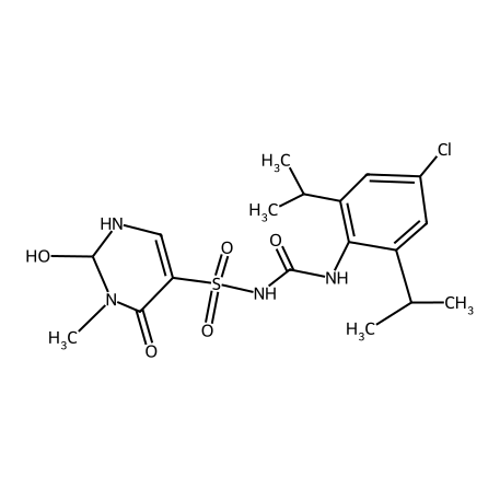 CC(C)c1cc(Cl)cc(C(C)C)c1NC(=O)NS(=O)(=O)C1=CNC(O)N(C)C1=O